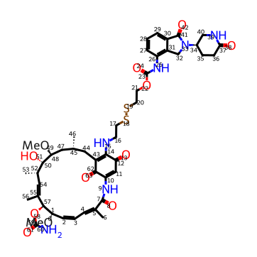 CO[C@H]1/C=C\C=C(/C)C(=O)NC2=CC(=O)C(NCCSSCCOC(=O)Nc3cccc4c3CN([C@@H]3CCC(=O)NC3)C4=O)=C(C[C@@H](C)C[C@H](OC)[C@@H](O)[C@@H](C)/C=C(\C)[C@@H]1OC(N)=O)C2=O